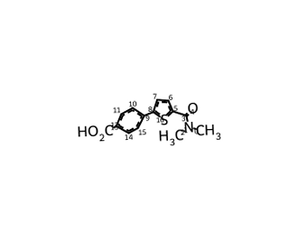 CN(C)C(=O)c1ccc(-c2ccc(C(=O)O)cc2)s1